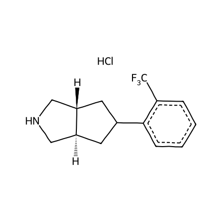 Cl.FC(F)(F)c1ccccc1C1C[C@H]2CNC[C@@H]2C1